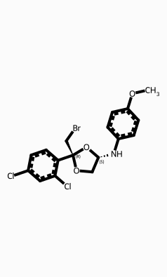 COc1ccc(N[C@@H]2CO[C@](CBr)(c3ccc(Cl)cc3Cl)O2)cc1